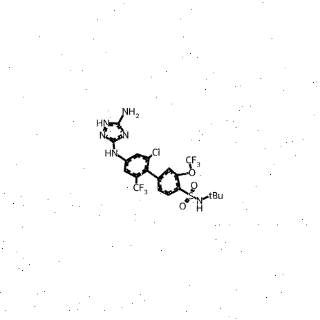 CC(C)(C)NS(=O)(=O)c1ccc(-c2c(Cl)cc(Nc3n[nH]c(N)n3)cc2C(F)(F)F)cc1OC(F)(F)F